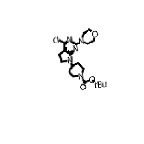 CC(C)(C)OC(=O)N1CCC(N2CCc3c(Cl)nc(N4CCOCC4)nc32)CC1